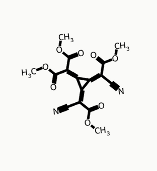 COC(=O)C(C#N)=C1C(=C(C#N)C(=O)OC)C1=C(C(=O)OC)C(=O)OC